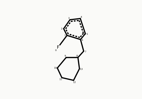 Fc1ccc[c]c1CC1CCCCC1